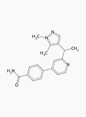 Cc1c(C(C)c2cc(-c3ccc(C(N)=O)cc3)ccn2)cnn1C